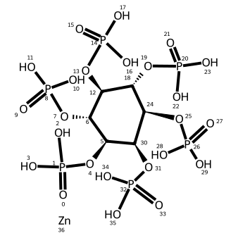 O=P(O)(O)O[C@H]1[C@H](OP(=O)(O)O)[C@@H](OP(=O)(O)O)[C@H](OP(=O)(O)O)[C@@H](OP(=O)(O)O)[C@H]1OP(=O)(O)O.[Zn]